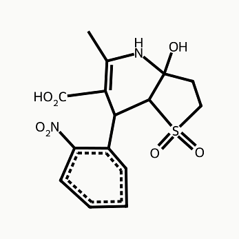 CC1=C(C(=O)O)C(c2ccccc2[N+](=O)[O-])C2C(O)(CCS2(=O)=O)N1